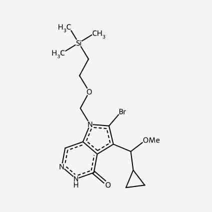 COC(c1c(Br)n(COCC[Si](C)(C)C)c2cn[nH]c(=O)c12)C1CC1